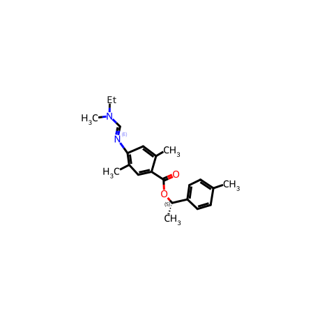 CCN(C)/C=N/c1cc(C)c(C(=O)O[C@@H](C)c2ccc(C)cc2)cc1C